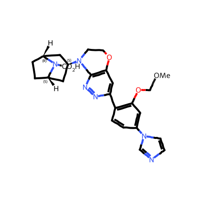 COCOc1cc(-n2ccnc2)ccc1-c1cc2c(nn1)N([C@@H]1C[C@H]3CC[C@@H](C1)N3C(=O)O)CCO2